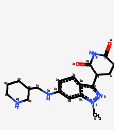 Cn1nc(C2CCC(=O)NC2=O)c2ccc(NCC3CCCNC3)cc21